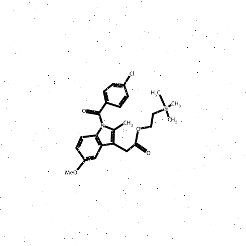 COc1ccc2c(c1)c(CC(=O)OCC[Si](C)(C)C)c(C)n2C(=O)c1ccc(Cl)cc1